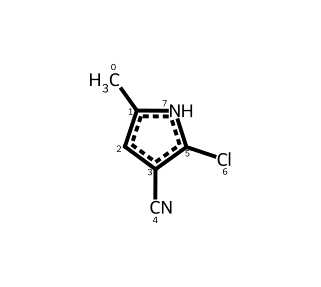 Cc1cc(C#N)c(Cl)[nH]1